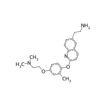 Cc1cc(OCCN(C)C)ccc1Oc1ccc2cc(CCN)ccc2n1